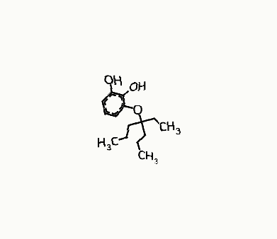 CCCC(CC)(CCC)Oc1cccc(O)c1O